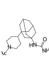 CC(=O)N1CCC(C23CC4CC(CC(NC(N)=O)(C4)C2)C3)CC1